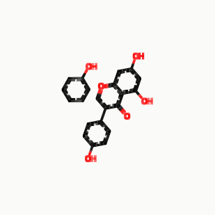 O=c1c(-c2ccc(O)cc2)coc2cc(O)cc(O)c12.Oc1ccccc1